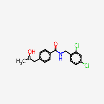 CB(O)Cc1ccc(C(=O)NCc2ccc(Cl)cc2Cl)cc1